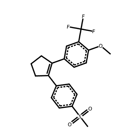 COc1ccc(C2=C(c3ccc(S(C)(=O)=O)cc3)CCC2)cc1C(F)(F)F